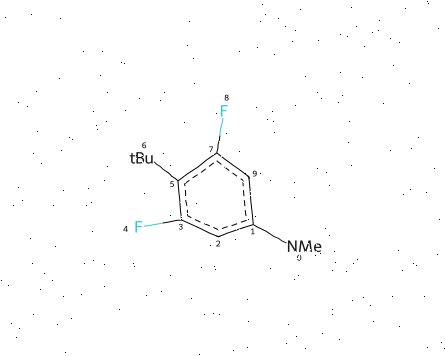 CNc1cc(F)c(C(C)(C)C)c(F)c1